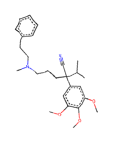 COc1cc(C(C#N)(CCCN(C)CCc2ccccc2)C(C)C)cc(OC)c1OC